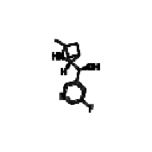 CC12CC(C1)[C@H]([C@@H](O)c1cncc(F)c1)N2